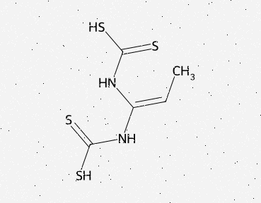 CC=C(NC(=S)S)NC(=S)S